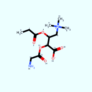 CCC(=O)OC(C[N+](C)(C)C)C(OC(=O)CN)C(=O)[O-]